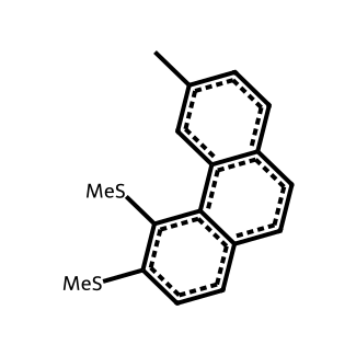 CSc1ccc2ccc3ccc(C)cc3c2c1SC